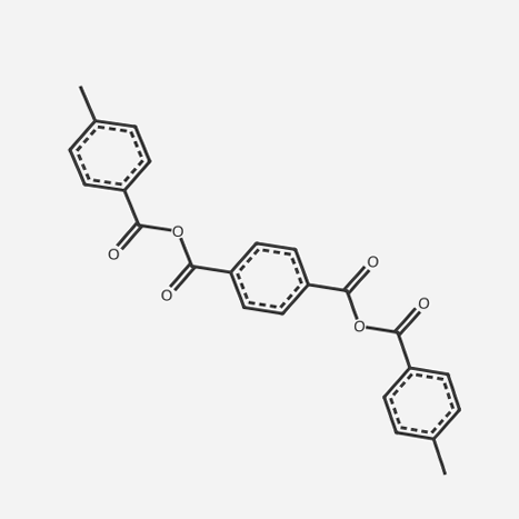 Cc1ccc(C(=O)OC(=O)c2ccc(C(=O)OC(=O)c3ccc(C)cc3)cc2)cc1